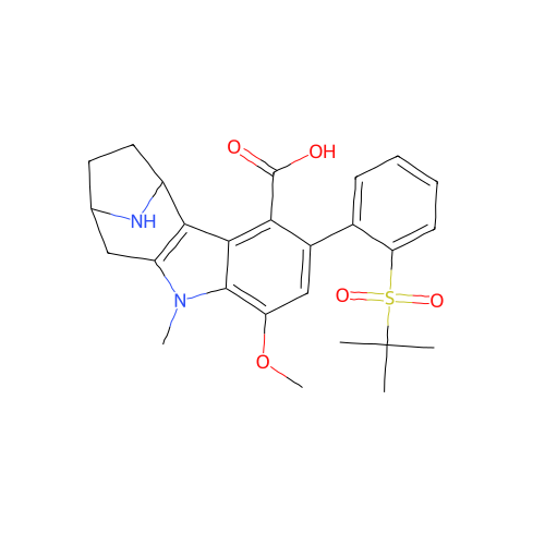 COc1cc(-c2ccccc2S(=O)(=O)C(C)(C)C)c(C(=O)O)c2c3c(n(C)c12)CC1CCC3N1